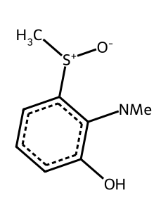 CNc1c(O)cccc1[S+](C)[O-]